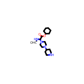 O=CNC(C(=O)OC1CCCCC1)N1CCN(C2CCNCC2)CC1